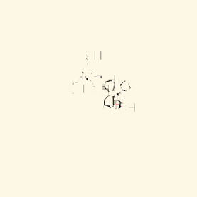 CCCC[N+](CCCC)(CCCC)CCCC.OB(O)OC(c1ccccc1)(c1ccccc1)c1ccccc1